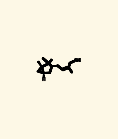 CC(=CC[C@H]1C[C@@H]2C[C@]2(C)C1(C)C)CO